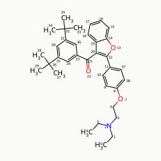 CCN(CC)CCOc1ccc(-c2oc3ccccc3c2C(=O)c2cc(C(C)(C)C)cc(C(C)(C)C)c2)cc1